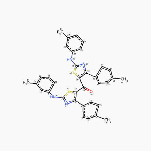 Cc1ccc(-c2nc(Nc3cccc(C(F)(F)F)c3)sc2C(=O)c2sc(Nc3cccc(C(F)(F)F)c3)nc2-c2ccc(C)cc2)cc1